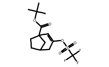 CC(C)(C)OC(=O)C12C=C(OS(=O)(=O)C(F)(F)F)CC(CC1)C2